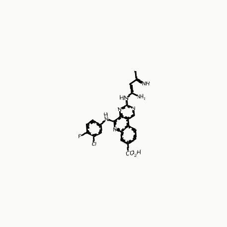 CC(=N)/C=C(\N)Nc1ncc2c(n1)c(Nc1ccc(F)c(Cl)c1)nc1cc(C(=O)O)ccc12